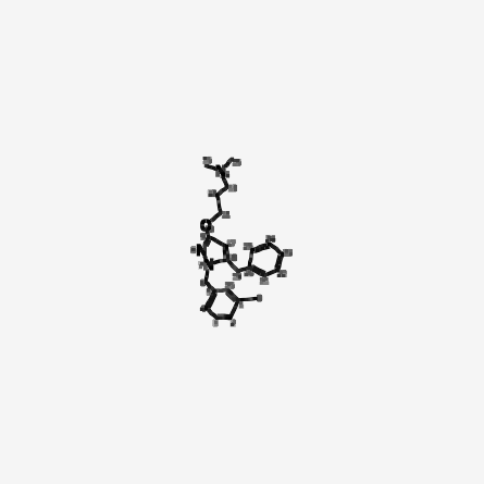 Cc1cccc(Cn2nc(OCCCN(C)C)cc2Cc2ccccc2)c1